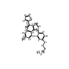 NCCCc1ccc(-n2cnc3c(-c4cccs4)nc4cc(F)ccc4c32)cc1